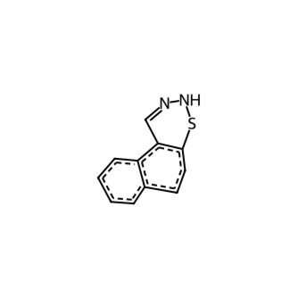 C1=NNSc2ccc3ccccc3c21